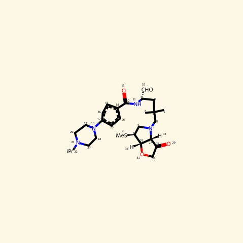 CS[C@H]1CN(CC(C)(C)C[C@@H](C=O)NC(=O)c2ccc(N3CCN(C(C)C)CC3)cc2)[C@@H]2C(=O)CO[C@H]12